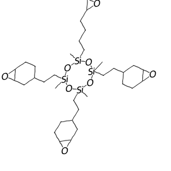 C[Si]1(CCCCC2CO2)O[Si](C)(CCC2CCC3OC3C2)O[Si](C)(CCC2CCC3OC3C2)O[Si](C)(CCC2CCC3OC3C2)O1